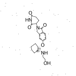 O=C1CCC(N2Cc3cc(O[C@H]4CCCC[C@H]4NCCO)ccc3C2=O)C(=O)N1